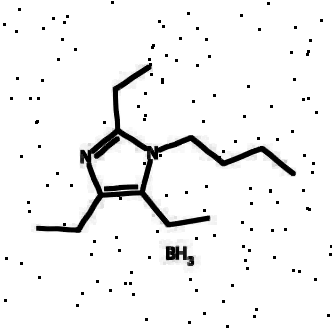 B.CCCCn1c(CC)nc(CC)c1CC